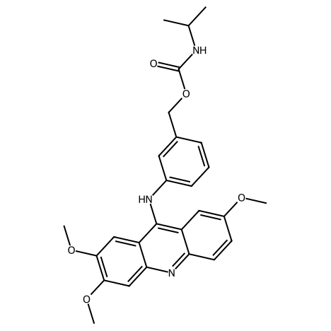 COc1ccc2nc3cc(OC)c(OC)cc3c(Nc3cccc(COC(=O)NC(C)C)c3)c2c1